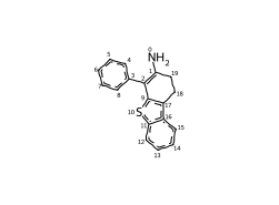 NC1=C(c2ccccc2)c2sc3ccccc3c2CC1